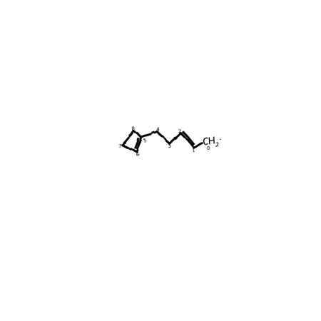 [CH2]C=CCCC1=CCC1